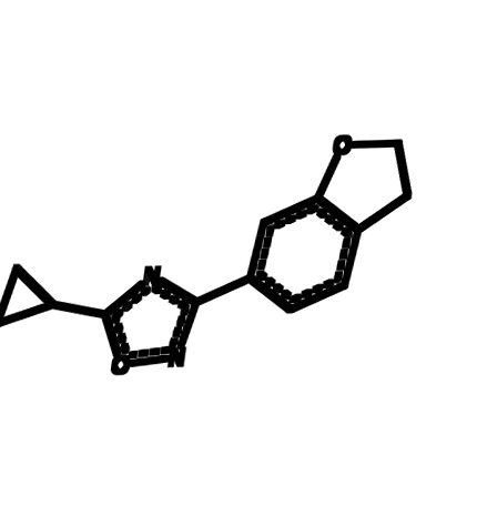 c1cc2c(cc1-c1noc(C3CC3)n1)OCC2